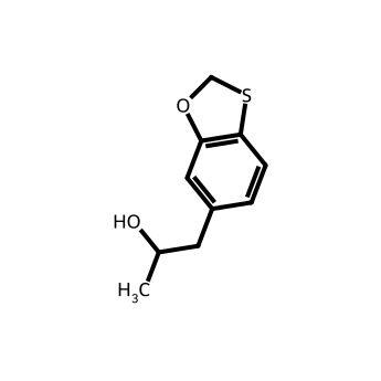 CC(O)Cc1ccc2c(c1)OCS2